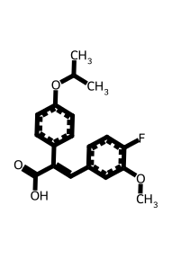 COc1cc(/C=C(/C(=O)O)c2ccc(OC(C)C)cc2)ccc1F